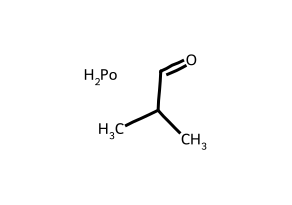 CC(C)C=O.[PoH2]